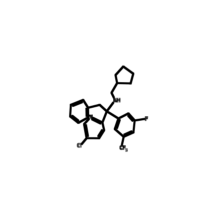 Fc1cc(C(F)(F)F)cc(C(Cc2ccccc2)(NCC2CCCC2)c2ccc(Cl)cn2)c1